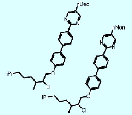 CCCCCCCCCCc1cnc(-c2ccc(-c3ccc(OCC(Cl)C(C)CCCC(C)C)cc3)cc2)nc1.CCCCCCCCCc1cnc(-c2ccc(-c3ccc(OCC(Cl)C(C)CCCC(C)C)cc3)cc2)nc1